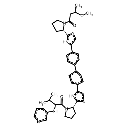 CO[C@H](C)CC(=O)N1CCC[C@H]1c1ncc(-c2ccc(-c3ccc(-c4cnc([C@@H]5CCCN5C(=O)[C@@H](Nc5cccnc5)C(C)C)[nH]4)cc3)cc2)[nH]1